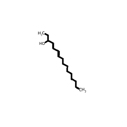 CCCCCCCCCC=CCCC(O)CC